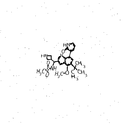 COc1c(C(C)(C)C)cc(-c2ccc[nH]c2=O)c2ncc(C(NS(C)(=O)=O)C3CNC3)cc12